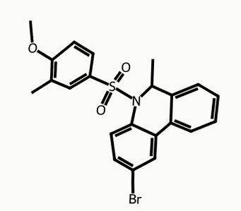 COc1ccc(S(=O)(=O)N2c3ccc(Br)cc3-c3ccccc3C2C)cc1C